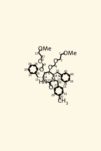 COCCOCO[C@@H]1[C@@H](OCOCCOC)[C@@H](Cc2ccccc2)NC(=O)N(Cc2ccc(C)cc2)[C@@H]1Cc1ccccc1